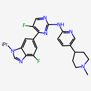 CC(C)n1cnc2c(F)cc(-c3nc(Nc4ccc(C5CCN(C)CC5)cn4)ncc3F)cc21